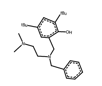 CN(C)CCN(Cc1ccccc1)Cc1cc(C(C)(C)C)cc(C(C)(C)C)c1O